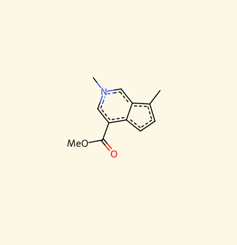 COC(=O)c1cn(C)cc2c(C)ccc1-2